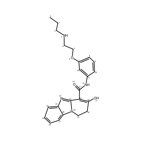 CCCNCCOc1cccc(NC(=O)C2=C(O)CCn3c2nc2ccccc23)c1